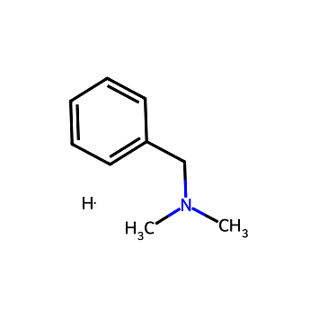 CN(C)Cc1ccccc1.[H]